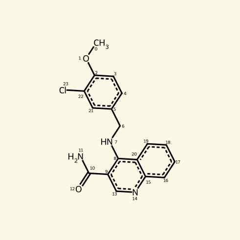 COc1ccc(CNc2c(C(N)=O)cnc3ccccc23)cc1Cl